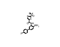 CS(=O)(=O)c1ncc(C(=O)Nc2cc(-c3ccc(F)cc3)ccc2N)s1